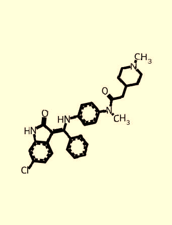 CN1CCC(CC(=O)N(C)c2ccc(N/C(=C3\C(=O)Nc4cc(Cl)ccc43)c3ccccc3)cc2)CC1